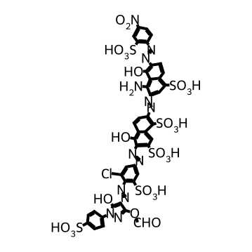 Nc1c(N=Nc2ccc3c(O)c(N=Nc4cc(Cl)c(N=Nc5c(OC=O)nn(-c6ccc(S(=O)(=O)O)cc6)c5O)c(S(=O)(=O)O)c4)c(S(=O)(=O)O)cc3c2S(=O)(=O)O)cc(S(=O)(=O)O)c2ccc(N=Nc3ccc([N+](=O)[O-])cc3S(=O)(=O)O)c(O)c12